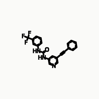 O=C(Nc1cncc(C#Cc2ccccc2)c1)Nc1cccc(C(F)(F)F)c1